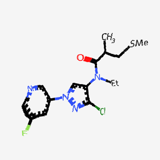 CCN(C(=O)C(C)CSC)c1cn(-c2cncc(F)c2)nc1Cl